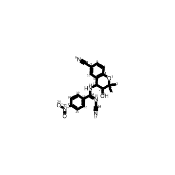 CC1(C)Oc2ccc(C#N)cc2C(NC(=NC#N)c2ccc([N+](=O)[O-])cc2)C1O